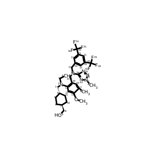 CCN(C[C@H]1CC[C@H](CO)CC1)c1cc(OC)c(C)cc1CN(Cc1cc(C(F)(F)F)cc(C(F)(F)F)c1)c1nnn(C)n1